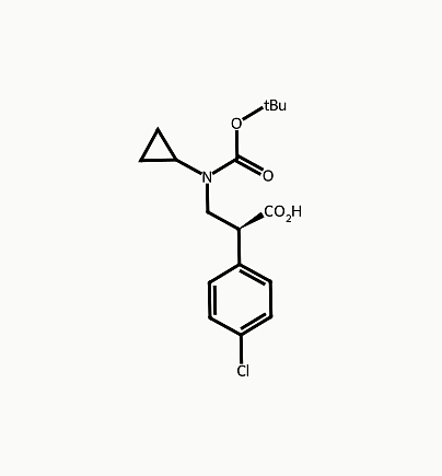 CC(C)(C)OC(=O)N(C[C@@H](C(=O)O)c1ccc(Cl)cc1)C1CC1